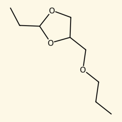 CCCOCC1COC(CC)O1